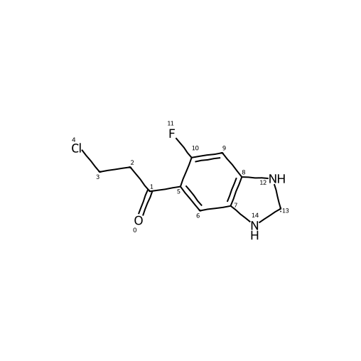 O=C(CCCl)c1cc2c(cc1F)N[CH]N2